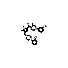 Cc1c(CN2CCN(c3ccccc3Cl)CC2)cc(C(=O)N2CCN(c3cccc(C#N)c3)CC2C)n1C